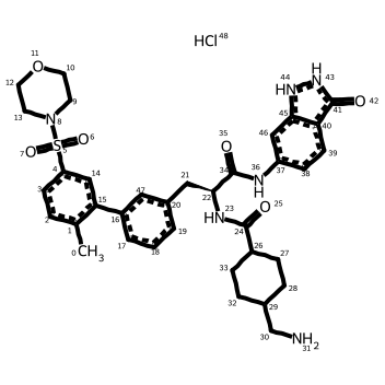 Cc1ccc(S(=O)(=O)N2CCOCC2)cc1-c1cccc(C[C@H](NC(=O)C2CCC(CN)CC2)C(=O)Nc2ccc3c(=O)[nH][nH]c3c2)c1.Cl